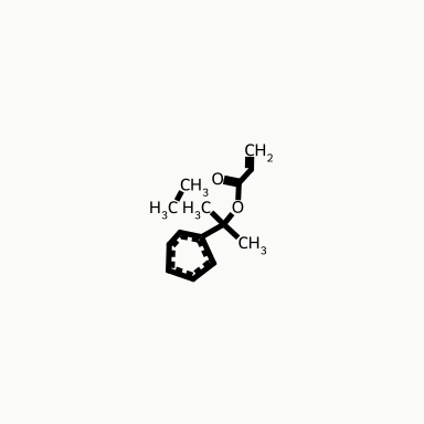 C=CC(=O)OC(C)(C)c1ccccc1.CC